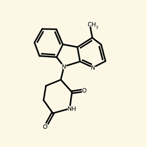 Cc1ccnc2c1c1ccccc1n2C1CCC(=O)NC1=O